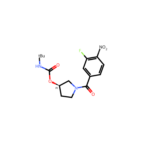 CC(C)(C)NC(=O)O[C@@H]1CCN(C(=O)c2ccc([N+](=O)[O-])c(F)c2)C1